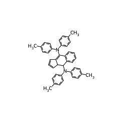 Cc1ccc(N(C2=C3C=C=CC3C(N(c3ccc(C)cc3)c3ccc(C)cc3)c3ccccc32)c2ccc(C)cc2)cc1